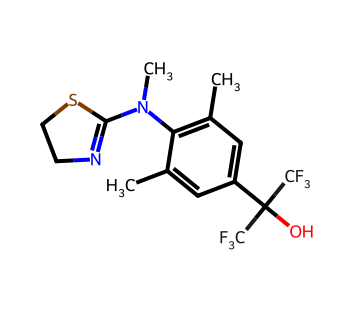 Cc1cc(C(O)(C(F)(F)F)C(F)(F)F)cc(C)c1N(C)C1=NCCS1